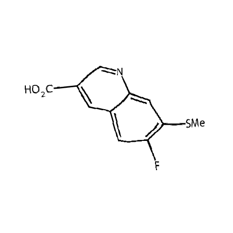 CSc1cc2ncc(C(=O)O)cc2cc1F